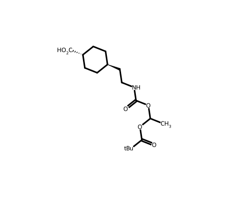 CC(OC(=O)NCC[C@H]1CC[C@H](C(=O)O)CC1)OC(=O)C(C)(C)C